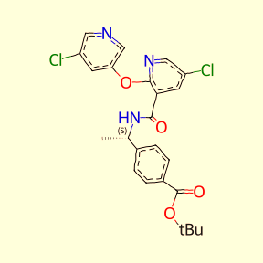 C[C@H](NC(=O)c1cc(Cl)cnc1Oc1cncc(Cl)c1)c1ccc(C(=O)OC(C)(C)C)cc1